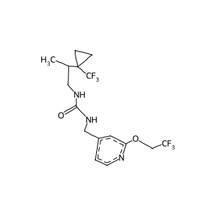 CC(CNC(=O)NCc1ccnc(OCC(F)(F)F)c1)C1(C(F)(F)F)CC1